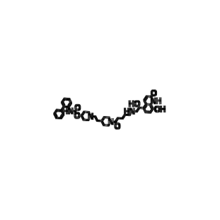 O=C(Nc1ccccc1-c1ccccc1)OC1CCN(CCC2CCN(C(=O)CCCCNCC(O)c3ccc(O)c4[nH]c(=O)ccc34)CC2)CC1